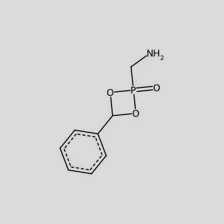 NCP1(=O)OC(c2ccccc2)O1